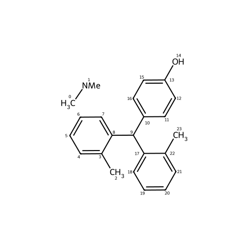 CNC.Cc1ccccc1C(c1ccc(O)cc1)c1ccccc1C